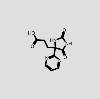 O=C(O)CCC1(c2ncccn2)NC(=O)NC1=O